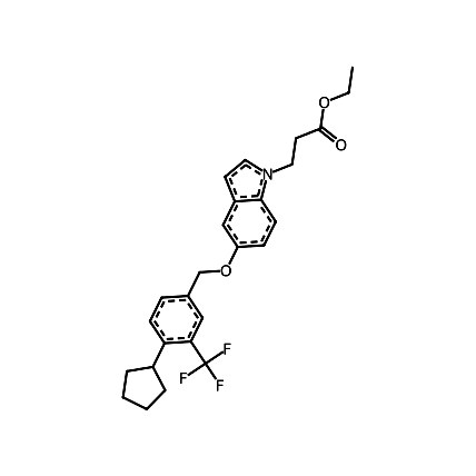 CCOC(=O)CCn1ccc2cc(OCc3ccc(C4CCCC4)c(C(F)(F)F)c3)ccc21